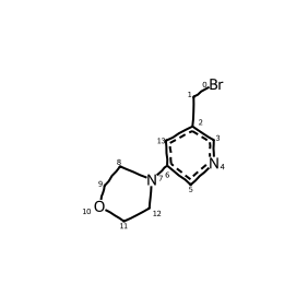 BrCc1cncc(N2CCOCC2)c1